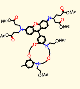 COCCN1CCOCCN(CCOC)c2ccc(-c3c4cc/c(=N\C(CCC(=O)OC)CC(=O)OC)cc-4oc4cc(N(CCC(=O)OC)CCC(=O)OC)ccc34)cc2OCCOc2cc(C)ccc21